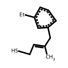 CCc1cccc(CC(C)=CCS)c1